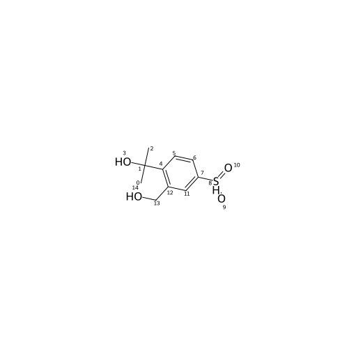 CC(C)(O)c1ccc([SH](=O)=O)cc1CO